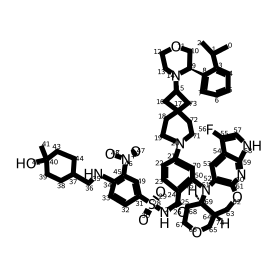 CC(C)c1ccccc1[C@@H]1COCCN1C1CC2(CCN(c3ccc(C(=O)NS(=O)(=O)c4ccc(NCC5CCC(C)(O)CC5)c([N+](=O)[O-])c4)c(N4c5cc6c(F)c[nH]c6nc5OC[C@@H]5COCC[C@H]54)c3)CC2)C1